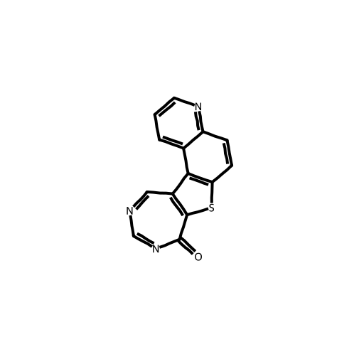 O=c1ncncc2c1sc1ccc3ncccc3c12